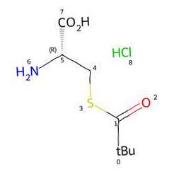 CC(C)(C)C(=O)SC[C@H](N)C(=O)O.Cl